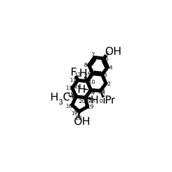 CC(C)[C@@H]1Cc2cc(O)ccc2[C@H]2C(F)C[C@]3(C)C[C@H](O)C[C@H]3[C@H]12